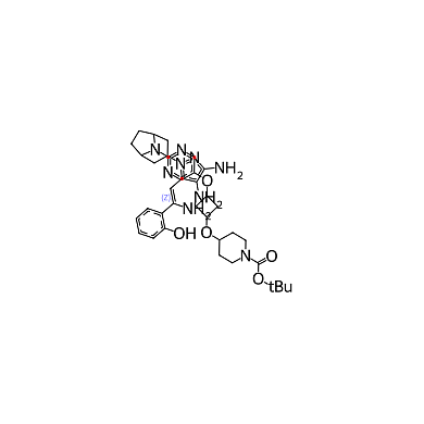 CC(C)(C)OC(=O)N1CCC(OC2CC(Oc3cnc(N4C5CCC4CC(n4nc(N)c(N)c4/C=C(\N)c4ccccc4O)C5)nc3)C2)CC1